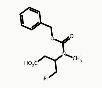 CC(C)CC(CC(=O)O)N(C)C(=O)OCc1ccccc1